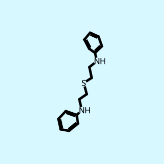 c1ccc(NCCSCCNc2ccccc2)cc1